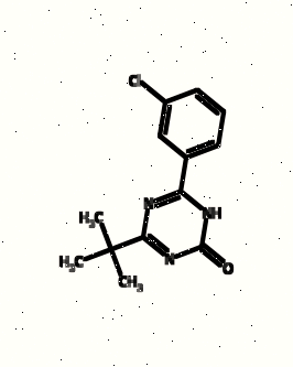 CC(C)(C)c1nc(-c2cccc(Cl)c2)[nH]c(=O)n1